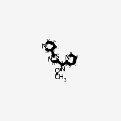 CON=C(c1ccccn1)c1cnc(-c2cccnc2)s1